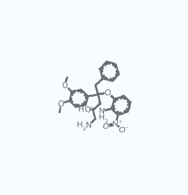 COc1ccc(C(Cc2ccccc2)(C[C@H](O)CN)Oc2cccc([N+](=O)[O-])c2N)cc1OC